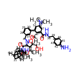 COc1c(CN2O[C@@H](CO)[C@@H]([C@H](C)O)[C@H]2C(=O)N[C@H]2C[C@H]3C[C@@H]([C@@H]2C)C3(C)C)cccc1-c1cc(C(=O)NCCc2ccc(N)cc2)cc(N(C)C)c1